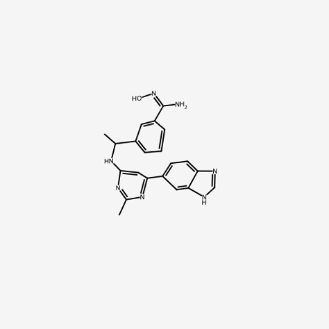 Cc1nc(NC(C)c2cccc(/C(N)=N\O)c2)cc(-c2ccc3nc[nH]c3c2)n1